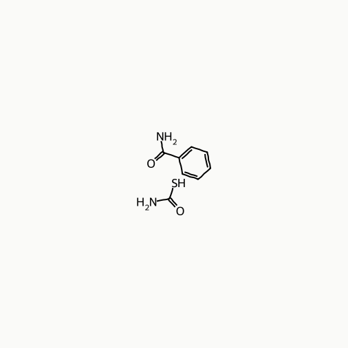 NC(=O)S.NC(=O)c1ccccc1